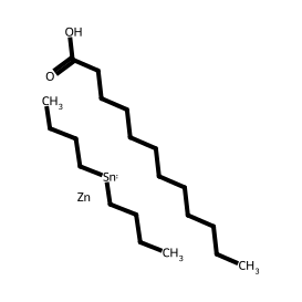 CCCCCCCCCCCC(=O)O.CCC[CH2][Sn][CH2]CCC.[Zn]